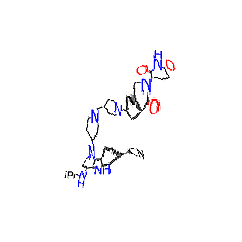 CC(C)NC1=CCN(C2CCN(CC3CCN(c4ccc5c(c4)CN(C4CCC(=O)NC4=O)C5=O)CC3)CC2)c2c1[nH]c1cc(C#N)ccc21